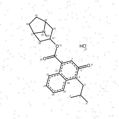 CC(C)Cn1c(=O)cc(C(=O)OC2CC3CCC(C2)N3C)c2ccccc21.Cl